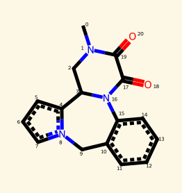 CN1CC2c3cccn3Cc3ccccc3N2C(=O)C1=O